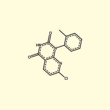 Cc1ccccc1-n1c(=O)[nH]c(=O)c2ccc(Cl)nc21